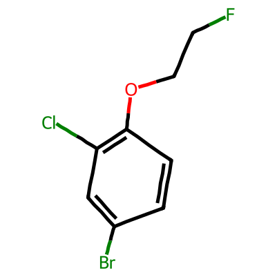 FCCOc1ccc(Br)cc1Cl